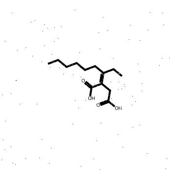 CCCCCCC(CC)=C(CC(=O)O)C(=O)O